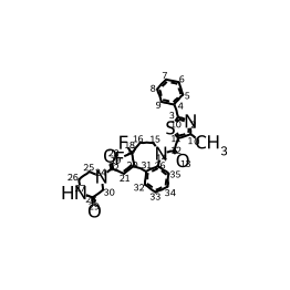 Cc1nc(-c2ccccc2)sc1C(=O)N1CCC(F)(F)C(=CC(=O)N2CCNC(=O)C2)c2ccccc21